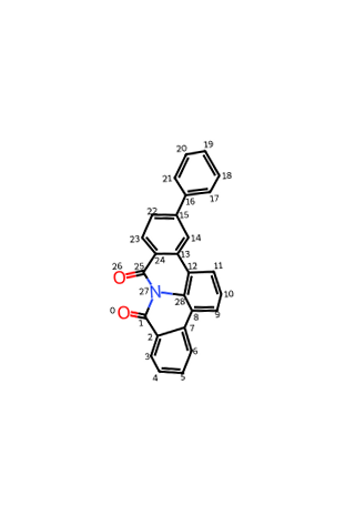 O=c1c2ccccc2c2cccc3c4cc(-c5ccccc5)ccc4c(=O)n1c23